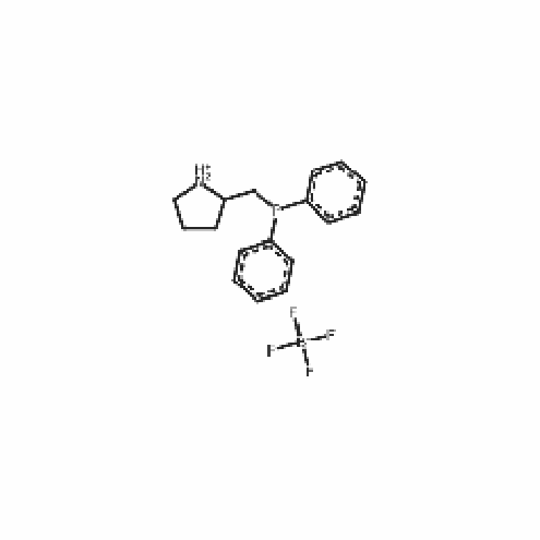 F[B-](F)(F)F.c1ccc(P(CC2CCC[NH2+]2)c2ccccc2)cc1